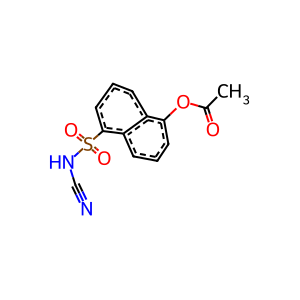 CC(=O)Oc1cccc2c(S(=O)(=O)NC#N)cccc12